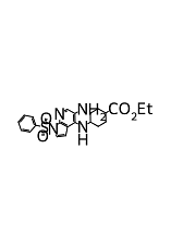 CCOC(=O)C1CCC(Nc2c(N)cnc3c2ccn3S(=O)(=O)c2ccccc2)CC1